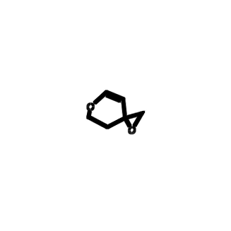 C1=CC2(CCO1)CO2